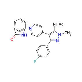 CC(=O)Nc1c(-c2ccncc2)c(-c2ccc(F)cc2)nn1C.O=C1Nc2cccc1c2